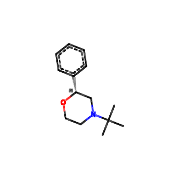 CC(C)(C)N1CCO[C@H](c2ccccc2)C1